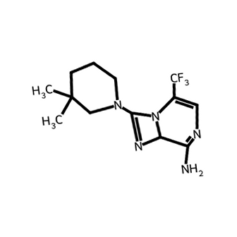 CC1(C)CCCN(C2=NC3C(N)=NC=C(C(F)(F)F)N23)C1